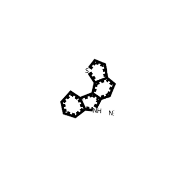 [N].c1ccc2c(c1)[nH]c1ccc3ccsc3c12